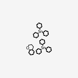 c1cc[c]([Sn]([c]2ccccc2)[c]2ccccc2)cc1.c1cc[c]([Sn]([c]2ccccc2)[c]2ccccc2)cc1.c1ccc2c(c1)CCCO2